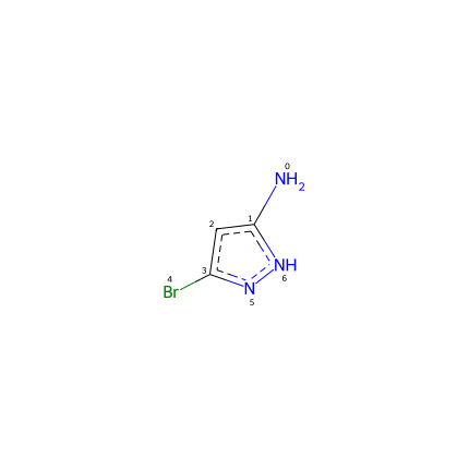 Nc1cc(Br)n[nH]1